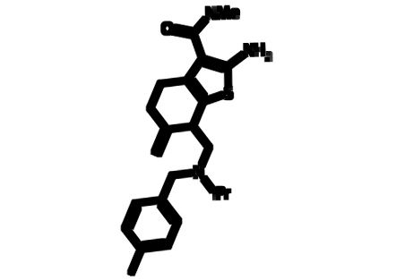 C=C1CCc2c(sc(N)c2C(=O)NC)C1CN(Cc1ccc(C)cc1)C(C)C